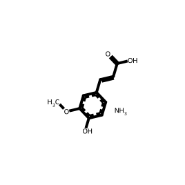 COc1cc(C=CC(=O)O)ccc1O.N